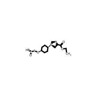 B=P(=O)SO[C@H]1CC[C@@H](n2cnc(C(=O)OCC)c2)CC1